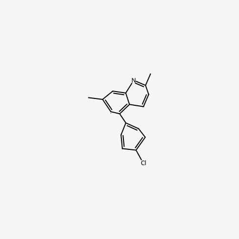 Cc1[c]c(-c2ccc(Cl)cc2)c2ccc(C)nc2c1